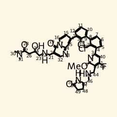 COc1nc(-c2cccc(-c3cccc(-c4ccn5c(=O)c(CNCC(O)CC(=O)N(C)C)cnc5c4)c3Cl)c2Cl)cc(F)c1CNC[C@@H]1CCC(=O)N1